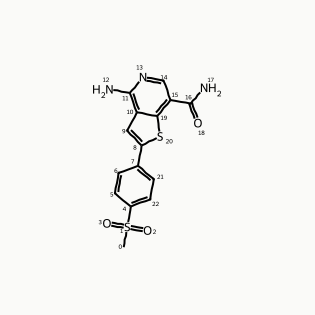 CS(=O)(=O)c1ccc(-c2cc3c(N)ncc(C(N)=O)c3s2)cc1